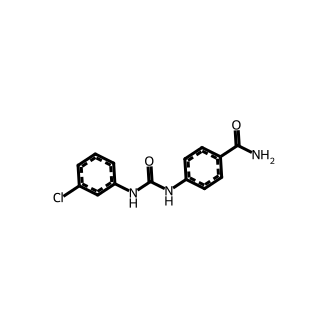 NC(=O)c1ccc(NC(=O)Nc2cccc(Cl)c2)cc1